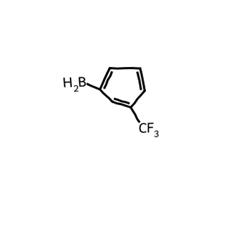 Bc1cccc(C(F)(F)F)c1